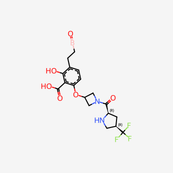 O=BCCc1ccc(OC2CN(C(=O)[C@H]3C[C@@H](C(F)(F)F)CN3)C2)c(C(=O)O)c1O